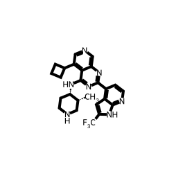 C[C@@H]1CNCC[C@@H]1Nc1nc(-c2ccnc3[nH]c(C(F)(F)F)cc23)nc2cncc(C3CCC3)c12